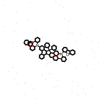 c1ccc(-c2ccccc2N(c2ccc3c4c(ccc3c2)-c2c(c3ccc(N(c5ccccc5-c5ccccc5)c5cccc6c5oc5ccccc56)cc3c3ccccc23)C4(c2ccccc2)c2ccccc2)c2cccc3c2oc2ccccc23)cc1